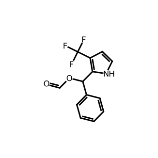 O=COC(c1ccccc1)c1[nH]ccc1C(F)(F)F